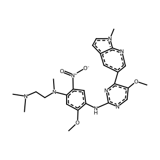 COc1cc(N(C)CCN(C)C)c([N+](=O)[O-])cc1Nc1ncc(OC)c(-c2cnc3c(ccn3C)c2)n1